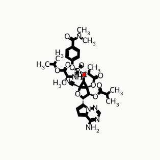 CC(C)OC(=O)[C@H](C)NP(=O)(Oc1ccc(C(=O)N(C)C)cc1)OC1[C@@]2(C#N)O[C@@H](c3ccc4c(N)ncnn34)[C@H](OC(=O)C(C)C)[C@@]12OC(=O)C(C)C